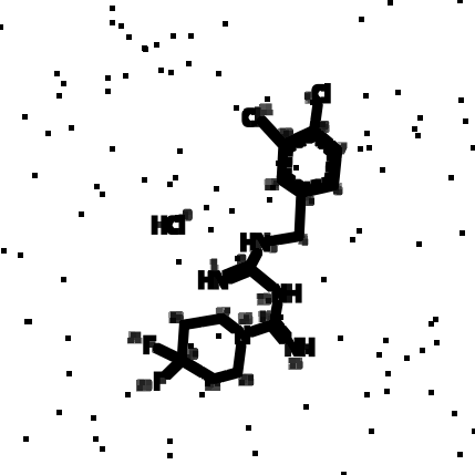 Cl.N=C(NCc1ccc(Cl)c(Cl)c1)NC(=N)N1CCC(F)(F)CC1